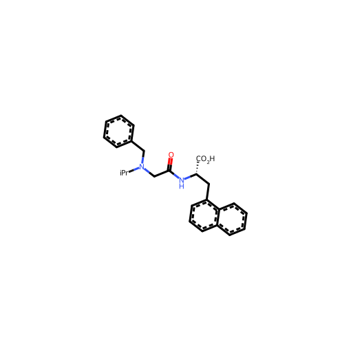 CC(C)N(CC(=O)N[C@@H](Cc1cccc2ccccc12)C(=O)O)Cc1ccccc1